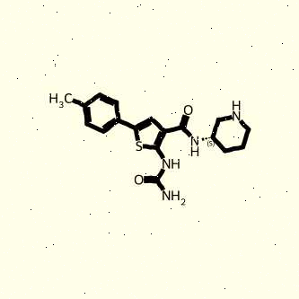 Cc1ccc(-c2cc(C(=O)N[C@H]3CCCNC3)c(NC(N)=O)s2)cc1